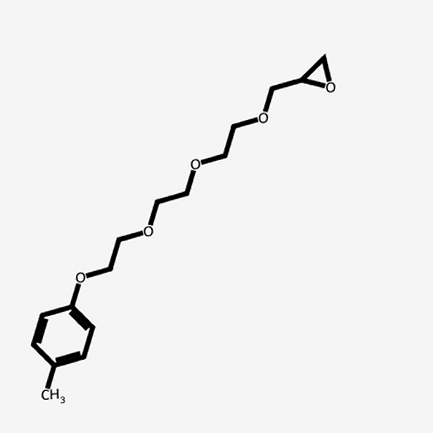 Cc1ccc(OCCOCCOCCOCC2CO2)cc1